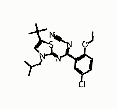 CCOc1ccc(Cl)cc1C(=NC#N)N=c1sc(C(C)(C)C)cn1CC(C)C